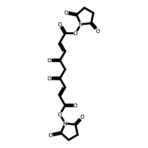 O=C(/C=C/C(=O)ON1C(=O)CCC1=O)CC(=O)/C=C/C(=O)ON1C(=O)CCC1=O